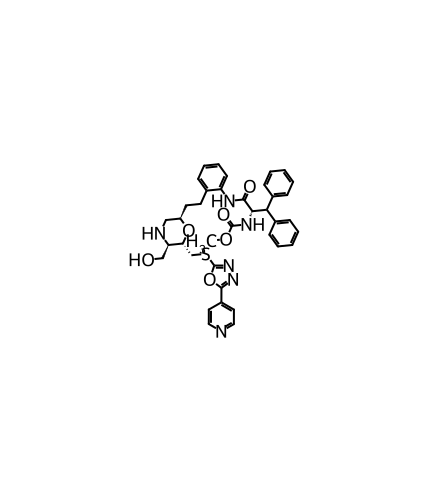 COC(=O)N[C@H](C(=O)Nc1ccccc1CC[C@@H]1CN[C@H](CO)[C@@H](CSc2nnc(-c3ccncc3)o2)O1)C(c1ccccc1)c1ccccc1